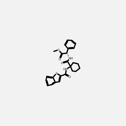 COC(=O)[C@@H](NC(=O)C1(NC(=O)c2cc3ccccc3s2)CCCCC1)c1ccccc1